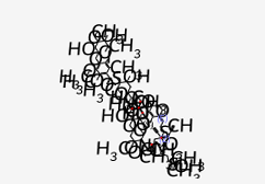 C#C/C=C\C#C[C@H](OC1OC(C)C(NOC2CC(O)C(SC(=O)c3c(C)c(I)c(OC4OC(C)C(O)C(OC)C4O)c(OC)c3OC)C(C)O2)C(O)C1OC1CC(OC)C(N(CC)C(C)=O)CO1)C1=C(NC(=O)OC)C(=O)CO/C1=C/CSC1CC(=O)N(CCC[Si](C)(C)O)C1=O